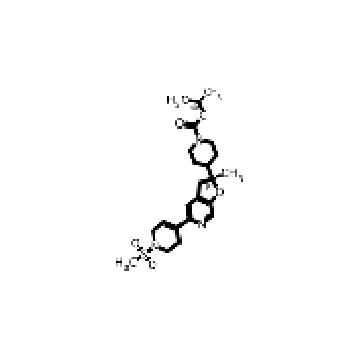 C[C@H](OC(=O)N1CCC([C@@]2(C)Cc3cc(C4=CCN(S(C)(=O)=O)CC4)ncc3O2)CC1)C(F)(F)F